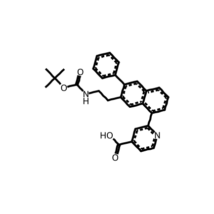 CC(C)(C)OC(=O)NCCc1cc2c(-c3cc(C(=O)O)ccn3)cccc2cc1-c1ccccc1